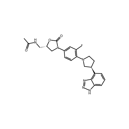 CC(=O)NC[C@H]1CN(c2ccc(N3CC[C@@H](c4cccc5[nH]nnc45)C3)c(F)c2)C(=O)O1